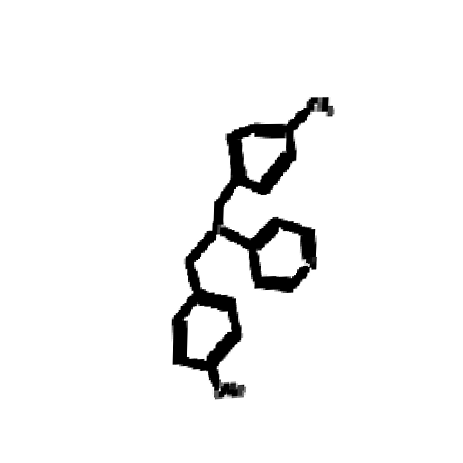 COc1ccc(CN(Cc2ccc(C)cc2)c2ccncc2)cc1